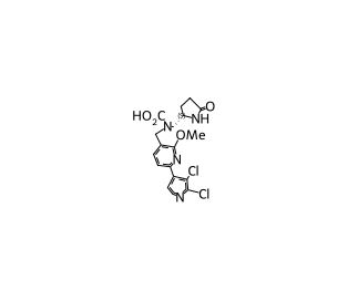 COc1nc(-c2ccnc(Cl)c2Cl)ccc1CN(C[C@@H]1CCC(=O)N1)C(=O)O